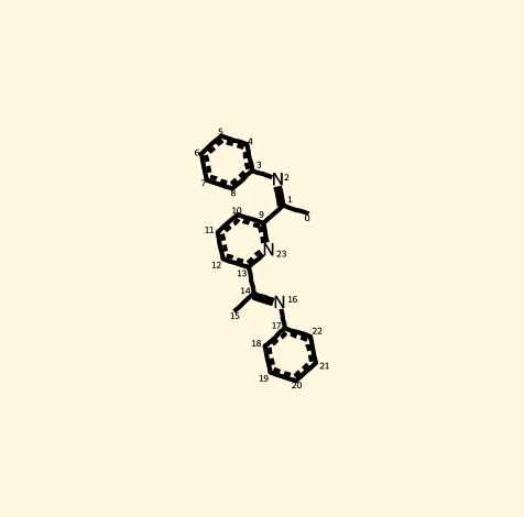 CC(=Nc1ccccc1)c1cccc(C(C)=Nc2ccccc2)n1